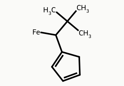 CC(C)(C)[CH]([Fe])C1=CC=CC1